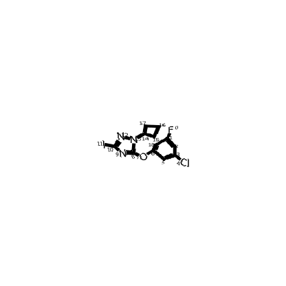 Fc1cc(Cl)cc(Oc2nc(I)nn2C2CCC2)c1